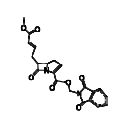 COC(=O)C=CCC1C(=O)N2C(C(=O)OCN3C(=O)c4ccccc4C3=O)=CCC12